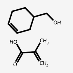 C=C(C)C(=O)O.OCC1CC=CCC1